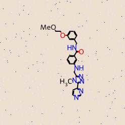 COCCOc1cccc(CNC(=O)c2cccc(NCc3nnc(-c4ccncn4)n3C)c2)c1